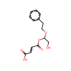 O=C(O)/C=C/C(=O)OC(CO)OCCc1ccccc1